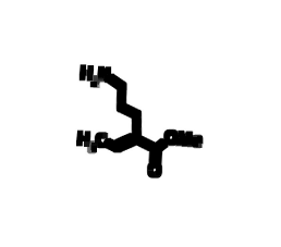 CC=C(CCCN)C(=O)OC